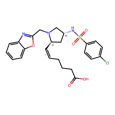 O=C(O)CCC/C=C\[C@@H]1C[C@@H](NS(=O)(=O)c2ccc(Cl)cc2)CN1Cc1nc2ccccc2o1